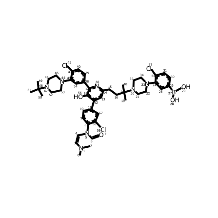 CN(C)/C=C\N(C=O)c1ccc(-c2cc(CCC(C)(C)N3CCN(c4cc(B(O)O)ccc4Cl)CC3)nc(-c3ccc(Cl)c(N4CCN(C(C)(C)C)CC4)c3)c2O)cc1Cl